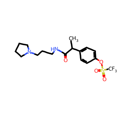 CC(C(=O)NCCCN1CCCC1)c1ccc(OS(=O)(=O)C(F)(F)F)cc1